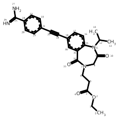 CCOC(=O)CCN1CC(=O)N(C(C)C)c2ccc(C#Cc3ccc(C(=N)N)cc3)cc2C1=O